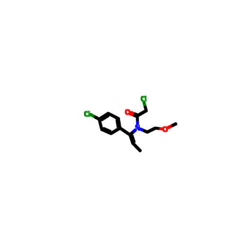 C/C=C(/c1ccc(Cl)cc1)N(CCOC)C(=O)CCl